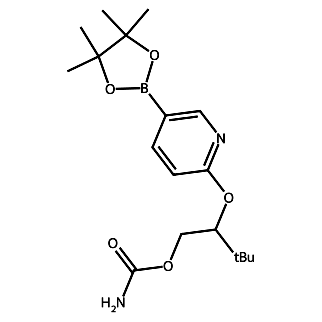 CC(C)(C)C(COC(N)=O)Oc1ccc(B2OC(C)(C)C(C)(C)O2)cn1